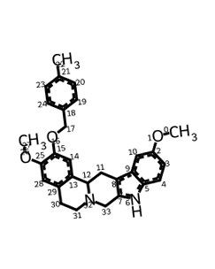 COc1ccc2[nH]c3c(c2c1)CC1c2cc(OCc4ccc(C)cc4)c(OC)cc2CCN1C3